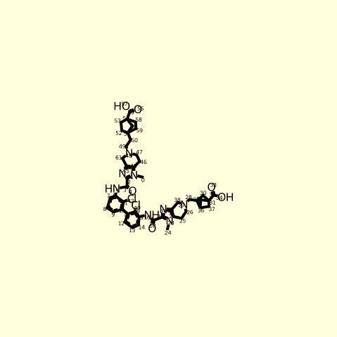 Cn1c(C(=O)Nc2cccc(-c3cccc(NC(=O)c4nc5c(n4C)CCN(CC4CC6(C(=O)O)CC4C6)C5)c3Cl)c2Cl)nc2c1CCN(CCC13CCC(C(=O)O)(CC1)C3)C2